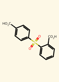 O=C(O)c1ccc(S(=O)(=O)c2ccccc2C(=O)O)cc1